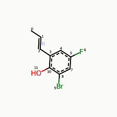 C/C=C/c1cc(F)cc(Br)c1O